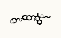 CCCCOc1c(C)c(CC2CCc3cc(OCC4CCOCC4)ccc3C2)nc2ccccc12